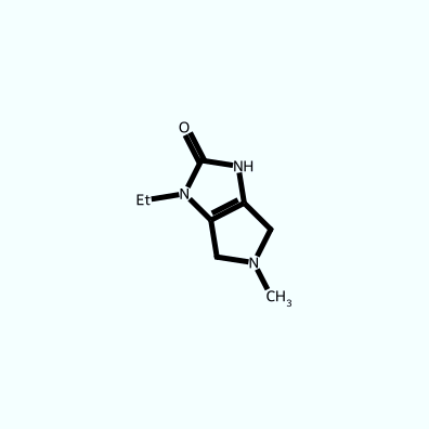 CCn1c2c([nH]c1=O)CN(C)C2